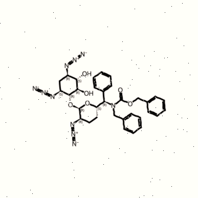 [N-]=[N+]=N[C@H]1C[C@@H](N=[N+]=[N-])[C@H](O)[C@@H](O)[C@@H]1O[C@H]1O[C@H]([C@@H](c2ccccc2)N(Cc2ccccc2)C(=O)OCc2ccccc2)CC[C@H]1N=[N+]=[N-]